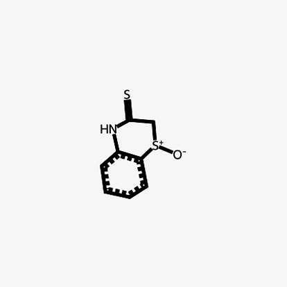 [O-][S+]1CC(=S)Nc2ccccc21